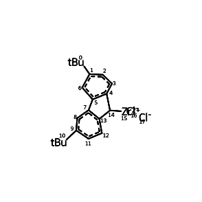 CC(C)(C)c1ccc2c(c1)-c1cc(C(C)(C)C)ccc1[CH]2[Zr+2].[Cl-].[Cl-]